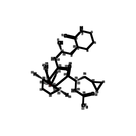 N#C[C@H](C[C@@H]1CCCNC1=O)NC(=O)[C@@H]1[C@@H]2CC[C@@H](CC2(F)F)N1C(=O)[C@H](CC1CC1)NC(=O)C(F)(F)F